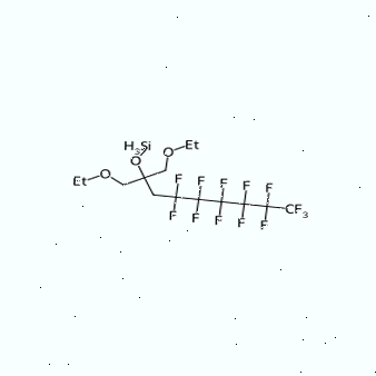 CCOCC(COCC)(CC(F)(F)C(F)(F)C(F)(F)C(F)(F)C(F)(F)C(F)(F)F)O[SiH3]